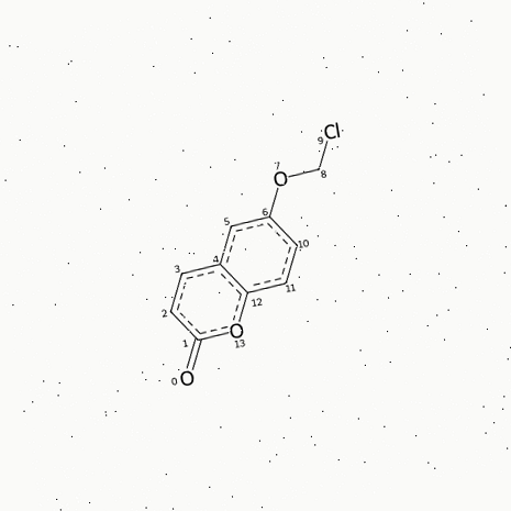 O=c1ccc2cc(OCCl)ccc2o1